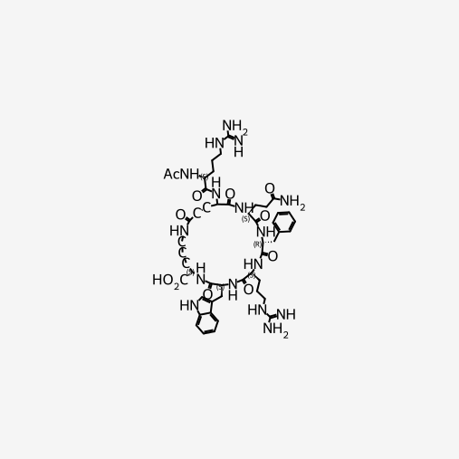 CC(=O)N[C@@H](CCCNC(=N)N)C(=O)NC1CCC(=O)NCCC[C@@H](C(=O)O)NC(=O)[C@H](Cc2c[nH]c3ccccc23)NC(=O)[C@H](CCCNC(=N)N)NC(=O)[C@@H](Cc2ccccc2)NC(=O)[C@H](CCC(N)=O)NC1=O